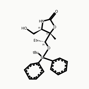 CC[C@@H](O[Si](c1ccccc1)(c1ccccc1)C(C)(C)C)[C@@]1(C)OC(=O)N[C@@H]1CO